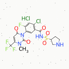 Cl.Cn1c(C(F)(F)F)cc(=O)n(-c2cc(C(=O)NS(=O)(=O)C3CCNC3)c(Cl)cc2F)c1=O